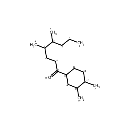 CCCC(C)C(C)CCC(=O)C1CCC(C)C(C)C1